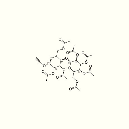 C#CO[C@@H]1OC(COC(C)=O)[C@@H](O[C@@H]2OC(COC(C)=O)[C@H](OC(C)=O)C(OC(C)=O)[C@@H]2OC(C)=O)C(OC(C)=O)[C@@H]1OC(C)=O